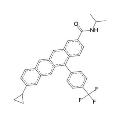 CC(C)NC(=O)c1ccc2c(-c3ccc(C(F)(F)F)cc3)c3cc4cc(C5CC5)ccc4cc3cc2c1